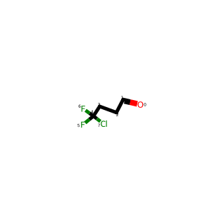 O=CCCC(F)(F)Cl